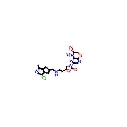 Cc1ncc(Cl)c2c1CC(CNCCC1CN(c3cnc4c(n3)NC(=O)CO4)C(=O)O1)C2